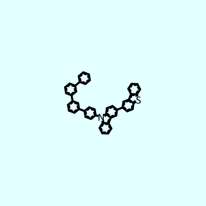 c1ccc(-c2cccc(-c3cccc(-c4ccc(-n5c6ccccc6c6cc(-c7ccc8sc9ccccc9c8c7)ccc65)cc4)c3)c2)cc1